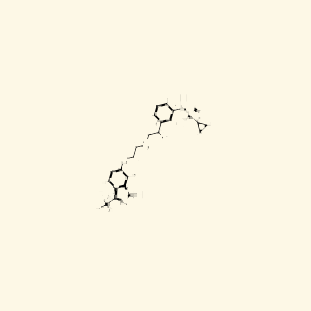 O=S(=O)(Nc1cccc(C(O)CNCCOc2ccc3c(C(F)(F)F)n[nH]c3c2)c1)C1CC1